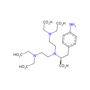 Nc1ccc(C[C@@H](C(=O)O)N(CCN(CC(=O)O)CC(=O)O)CCN(CC(=O)O)CC(=O)O)cc1